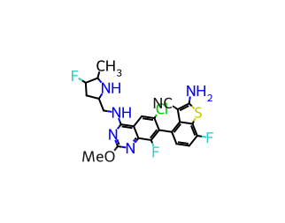 COc1nc(NCC2CC(F)C(C)N2)c2cc(Cl)c(-c3ccc(F)c4sc(N)c(C#N)c34)c(F)c2n1